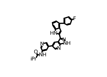 CC(C)C(=O)Nc1cncc(-c2cnc3[nH]nc(-c4cc5c(-c6ccc(F)cc6)cccc5[nH]4)c3c2)c1